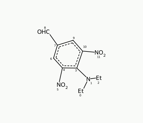 CCN(CC)c1c([N+](=O)[O-])cc(C=O)cc1[N+](=O)[O-]